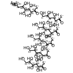 O=C([S-])[C@H](O)[C@@H](O)[C@H](O)[C@H](O)CO.O=C([S-])[C@H](O)[C@@H](O)[C@H](O)[C@H](O)CO.O=C([S-])[C@H](O)[C@@H](O)[C@H](O)[C@H](O)CO.O=C([S-])[C@H](O)[C@@H](O)[C@H](O)[C@H](O)CO.O=C([S-])[C@H](O)[C@@H](O)[C@H](O)[C@H](O)CO.O=C([S-])[C@H](O)[C@@H](O)[C@H](O)[C@H](O)CO.[Au+3].[Au+3]